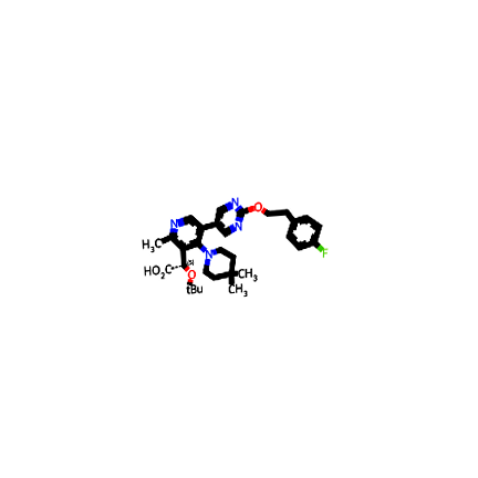 Cc1ncc(-c2cnc(OCCc3ccc(F)cc3)nc2)c(N2CCC(C)(C)CC2)c1[C@H](OC(C)(C)C)C(=O)O